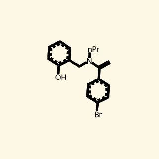 C=C(c1ccc(Br)cc1)N(CCC)Cc1ccccc1O